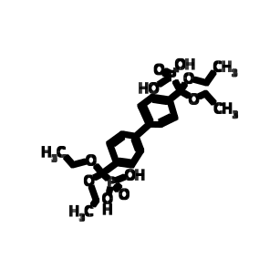 CCOC(OCC)(c1ccc(-c2ccc(C(OCC)(OCC)P(=O)(O)O)cc2)cc1)P(=O)(O)O